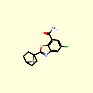 NC(=O)c1cc(Cl)cc2nc(C34CCC(CC3)N4)oc12